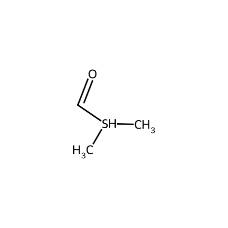 C[SH](C)C=O